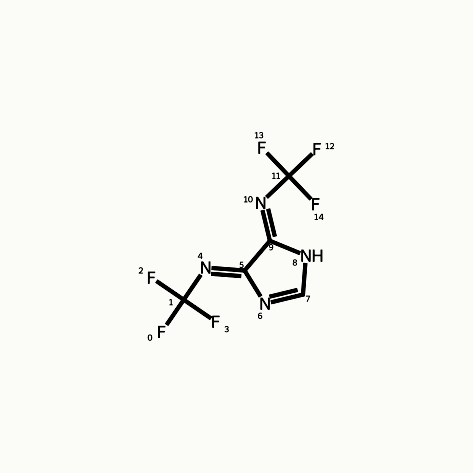 FC(F)(F)N=C1N=CNC1=NC(F)(F)F